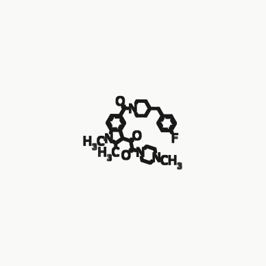 CC1C(C(=O)C(=O)N2CCN(C)CC2)c2cc(C(=O)N3CCC(Cc4ccc(F)cc4)CC3)ccc2N1C